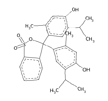 Cc1cc(O)c(C(C)C)cc1C1(c2cc(C(C)C)c(O)cc2C)OS(=O)(=O)c2ccccc21